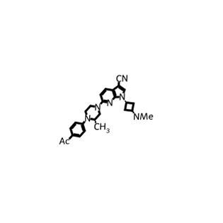 CN[C@H]1C[C@H](n2cc(C#N)c3ccc(N4CCN(c5ccc(C(C)=O)cc5)[C@H](C)C4)nc32)C1